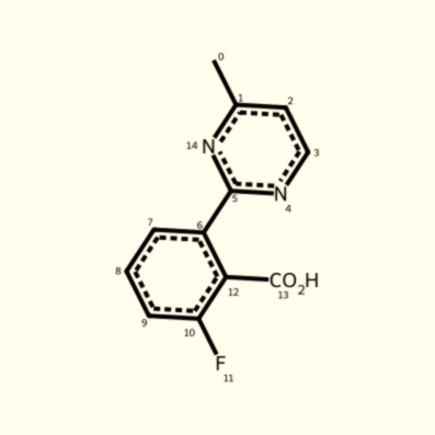 Cc1ccnc(-c2cccc(F)c2C(=O)O)n1